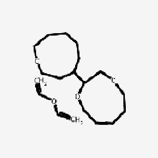 C1CCCCC(C2CCCCCCCO2)CCC1.C=COC=C